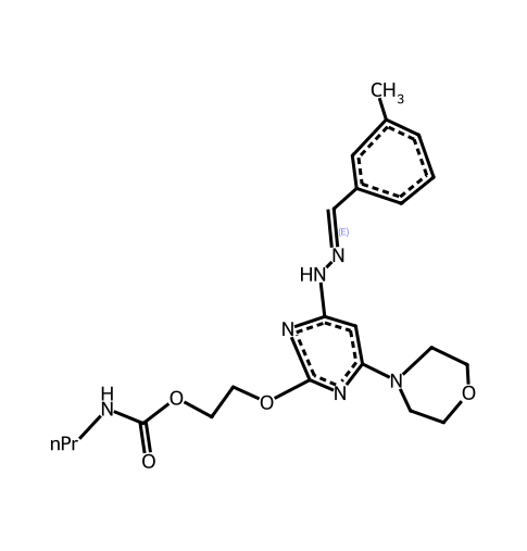 CCCNC(=O)OCCOc1nc(N/N=C/c2cccc(C)c2)cc(N2CCOCC2)n1